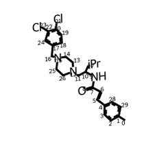 Cc1ccc(C=CC(=O)NC(CN2CCN(Cc3ccc(Cl)c(Cl)c3)CC2)C(C)C)cc1